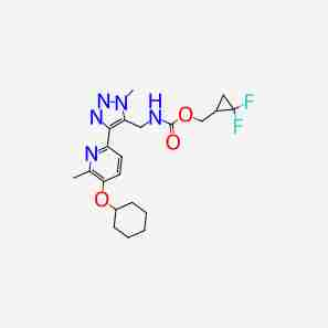 Cc1nc(-c2nnn(C)c2CNC(=O)OCC2CC2(F)F)ccc1OC1CCCCC1